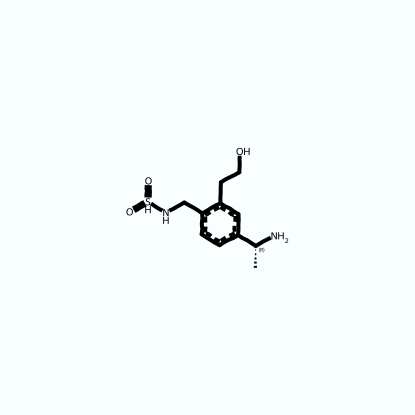 C[C@@H](N)c1ccc(CN[SH](=O)=O)c(CCO)c1